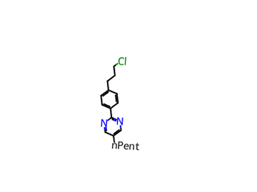 CCCCCc1cnc(-c2ccc(CCCCl)cc2)nc1